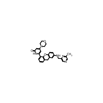 Cc1cncc(CNc2ccc3c(c2)Cc2cccc(-c4cc(N5CCOCC5)cc(=O)[nH]4)c2O3)n1